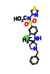 C[C@]1(Nc2ccc(S(=O)(=O)N(C(=O)O)c3cscn3)cc2Cl)CCN(Cc2ccccc2)C1